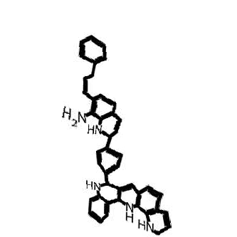 Nc1c(/C=C\Cc2ccccc2)ccc2c1NC(c1ccc(C3Nc4ccccc4C4Nc5c(ccc6c5NCC=C6)C=C34)cc1)C=C2